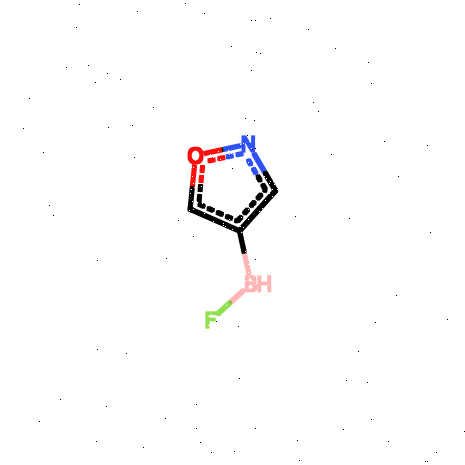 FBc1cnoc1